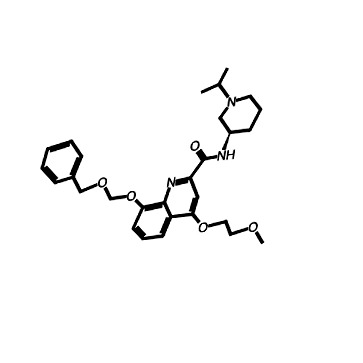 COCCOc1cc(C(=O)N[C@@H]2CCCN(C(C)C)C2)nc2c(OCOCc3ccccc3)cccc12